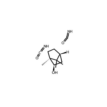 CC1(C)[C@@H]2CC[C@]1(C)[C@H](O)C2.N=C=O.N=C=O